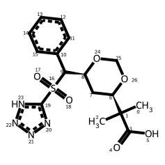 CC(C)(C(=O)O)[C@H]1C[C@@H](C(c2ccccc2)S(=O)(=O)c2nnn[nH]2)OCO1